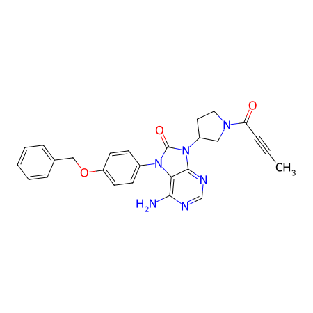 CC#CC(=O)N1CCC(n2c(=O)n(-c3ccc(OCc4ccccc4)cc3)c3c(N)ncnc32)C1